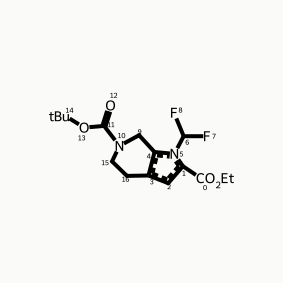 CCOC(=O)c1cc2c(n1C(F)F)CN(C(=O)OC(C)(C)C)CC2